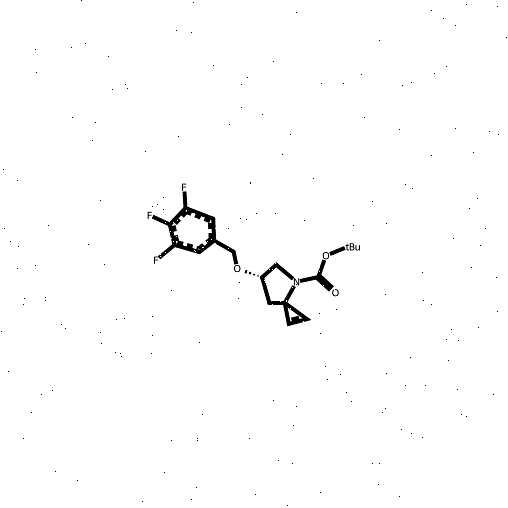 CC(C)(C)OC(=O)N1C[C@@H](OCc2cc(F)c(F)c(F)c2)CC12C=C2